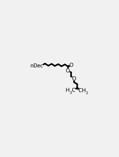 C=C(C)CCOCCOC(=O)CCCCCCCCCCCCCCCCC